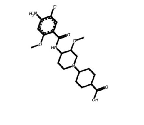 COc1cc(N)c(Cl)cc1C(=O)NC1CCN(C2CCC(C(=O)O)CC2)CC1OC